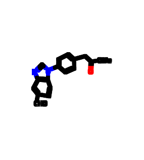 COC(=O)Cc1ccc(-n2cnc3cc(C=O)ccc32)cc1